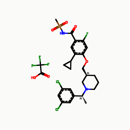 C[C@H](c1cc(Cl)cc(Cl)c1)N1CCC[C@H](COc2cc(F)c(C(=O)NS(C)(=O)=O)cc2C2CC2)C1.O=C(O)C(F)(F)F